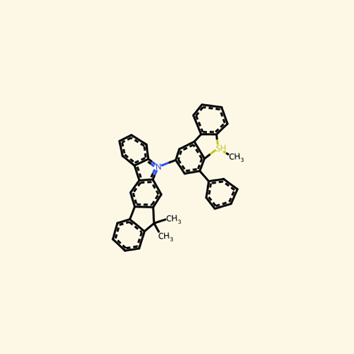 C[SH]1c2ccccc2-c2cc(-n3c4ccccc4c4cc5c(cc43)C(C)(C)c3ccccc3-5)cc(-c3ccccc3)c21